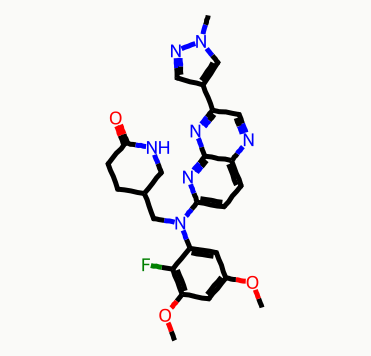 COc1cc(OC)c(F)c(N(CC2CCC(=O)NC2)c2ccc3ncc(-c4cnn(C)c4)nc3n2)c1